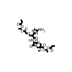 CCC(=O)OC(C)OC(=O)CON=C(C(=O)NC1C(=O)N2CC(SC)(C(=O)OC(C)OC(=O)CC)CS[C@H]12)c1nsc(N)n1